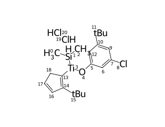 C[SiH](C)[Ti]([O]c1cc(Cl)cc(C(C)(C)C)c1)[C]1=C(C(C)(C)C)C=CC1.Cl.Cl